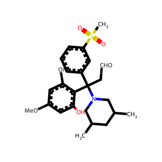 COc1cc(O)c(C(CC=O)(c2cccc(S(C)(=O)=O)c2)N2CC(C)CC(C)C2)c(OC)c1